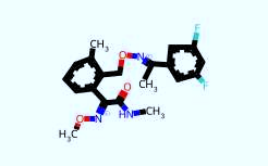 CNC(=O)/C(=N/OC)c1cccc(C)c1CO/N=C(\C)c1cc(F)cc(F)c1